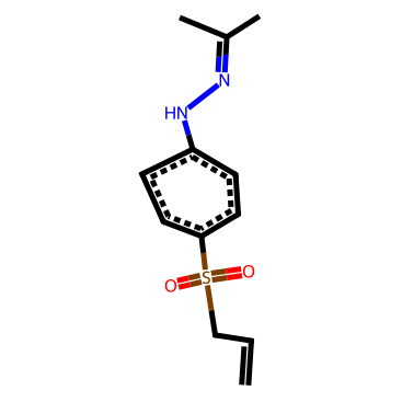 C=CCS(=O)(=O)c1ccc(NN=C(C)C)cc1